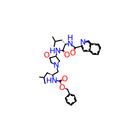 CC(C)C[C@@H](CN1CC(=O)C(NC(=O)[C@H](CC(C)C)NC(=O)c2cc3ccccc3cn2)C1)NC(=O)OCc1ccccc1